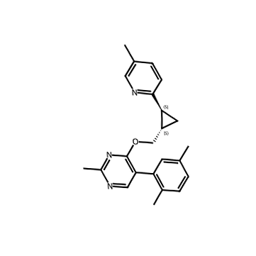 Cc1ccc([C@H]2C[C@@H]2COc2nc(C)ncc2-c2cc(C)ccc2C)nc1